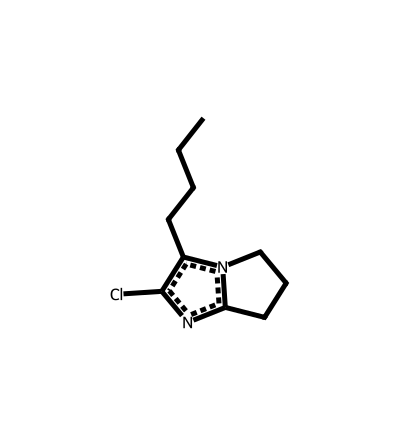 CCCCc1c(Cl)nc2n1CCC2